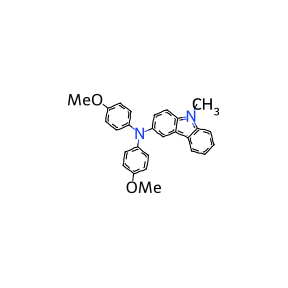 COc1ccc(N(c2ccc(OC)cc2)c2ccc3c(c2)c2ccccc2n3C)cc1